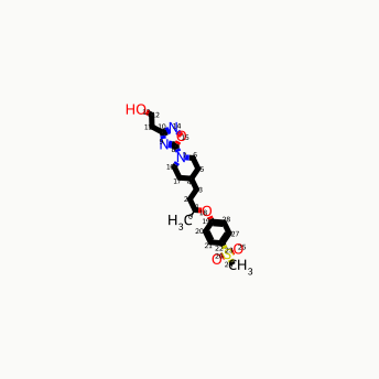 C[C@H](CCC1CCN(c2nc(CCO)no2)CC1)Oc1ccc(S(C)(=O)=O)cc1